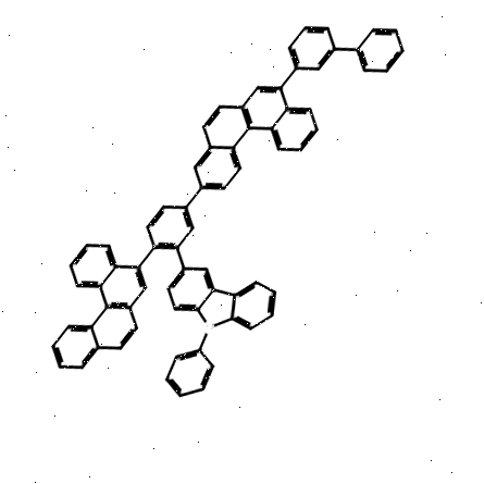 c1ccc(-c2cccc(-c3cc4ccc5cc(-c6ccc(-c7cc8ccc9ccccc9c8c8ccccc78)c(-c7ccc8c(c7)c7ccccc7n8-c7ccccc7)c6)ccc5c4c4ccccc34)c2)cc1